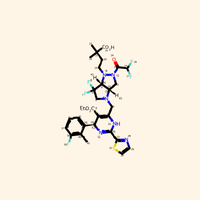 CCOC(=O)C1=C(CN2CC(F)(F)[C@H]3[C@@H]2CN(C(=O)C(F)F)N3CCC(C)(C)C(=O)O)NC(c2nccs2)=N[C@H]1c1cccc(F)c1C